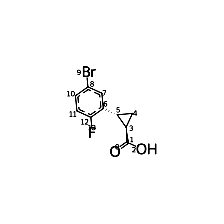 O=C(O)[C@@H]1C[C@H]1c1cc(Br)ccc1F